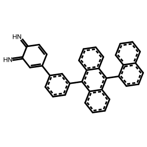 N=C1C=CC(c2cccc(-c3c4ccccc4c(-c4cccc5ccccc45)c4ccccc34)c2)=CC1=N